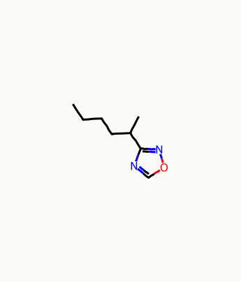 CCCCC(C)c1ncon1